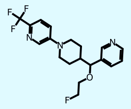 FCCOC(c1cccnc1)C1CCN(c2ccc(C(F)(F)F)nc2)CC1